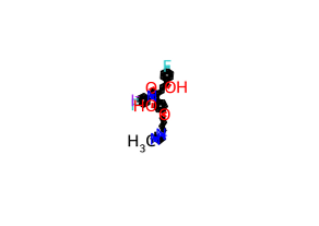 C[n+]1ccn(CCCCOc2ccc(C3C(CCC(O)c4ccc(F)cc4)C(=O)N3c3ccc(F)cc3)c(O)c2)c1.[I-]